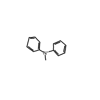 C[N+](c1ccccc1)c1ccccc1